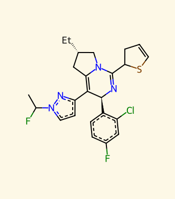 CC[C@H]1CC2=C(c3ccn(C(C)F)n3)[C@H](c3ccc(F)cc3Cl)N=C(C3CC=CS3)N2C1